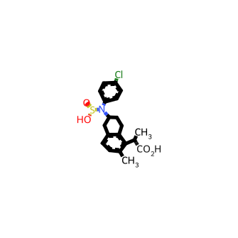 Cc1ccc2c(c1C(C)C(=O)O)CCC(N(c1ccc(Cl)cc1)S(=O)O)C2